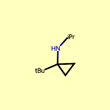 CC(C)NC1(C(C)(C)C)CC1